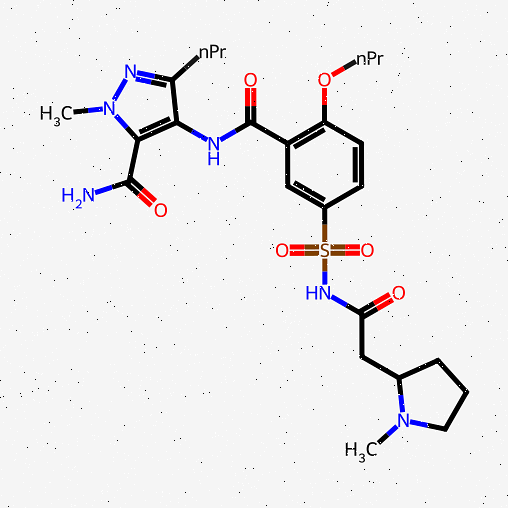 CCCOc1ccc(S(=O)(=O)NC(=O)CC2CCCN2C)cc1C(=O)Nc1c(CCC)nn(C)c1C(N)=O